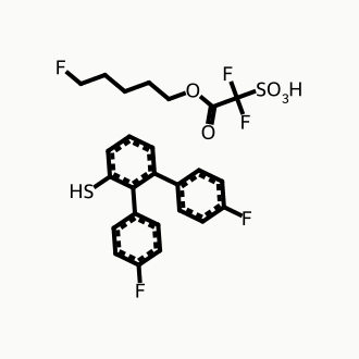 Fc1ccc(-c2cccc(S)c2-c2ccc(F)cc2)cc1.O=C(OCCCCCF)C(F)(F)S(=O)(=O)O